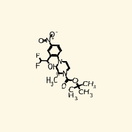 C[C@@H]1CN(c2ccc([N+](=O)[O-])cc2C(O)C(F)F)CCN1C(=O)OC(C)(C)C